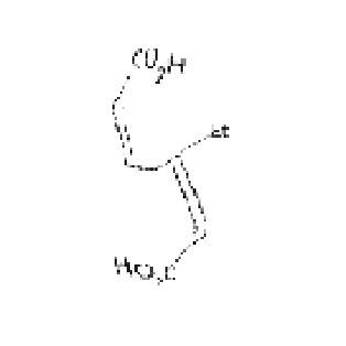 CCC(/C=C\C(=O)O)=C/C(=O)O